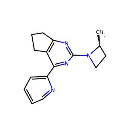 C[C@H]1CCN1c1nc2c(c(-c3ccccn3)n1)CCC2